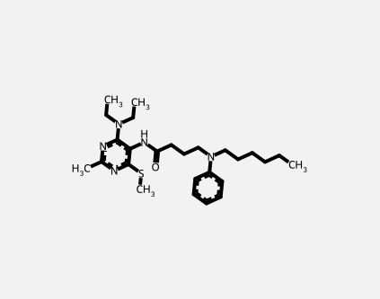 CCCCCCN(CCCC(=O)Nc1c(SC)nc(C)nc1N(CC)CC)c1ccccc1